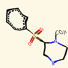 O=C(O)N1CCNCC1S(=O)(=O)c1ccccc1